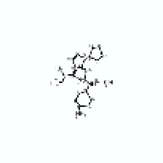 Cl.Cl.NC1CCC(Nc2nc(N(N)CC(F)(F)F)c3ncn(C4CCCC4)c3n2)CC1